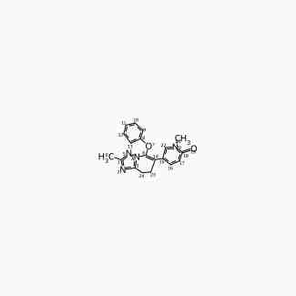 Cc1nc2n(n1)C(Oc1ccccc1)=C(c1ccc(=O)n(C)c1)CC2